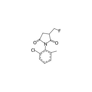 Cc1cccc(Cl)c1N1C(=O)CC(CF)C1=O